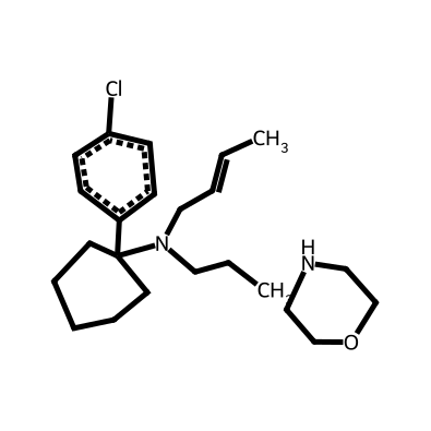 C1COCCN1.CC=CCN(CCC)C1(c2ccc(Cl)cc2)CCCCC1